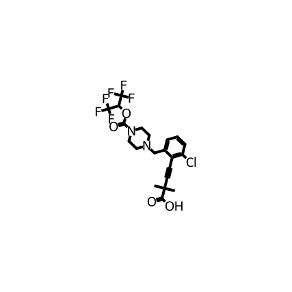 CC(C)(C#Cc1c(Cl)cccc1CN1CCN(C(=O)OC(C(F)(F)F)C(F)(F)F)CC1)C(=O)O